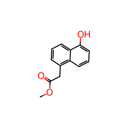 COC(=O)Cc1cccc2c(O)cccc12